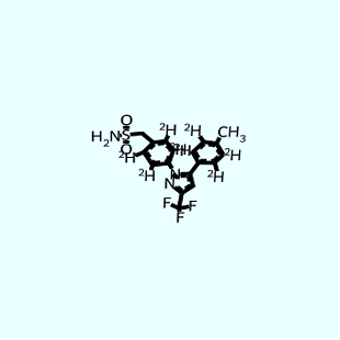 [2H]c1c([2H])c(-c2cc(C(F)(F)F)nn2-c2c([2H])c([2H])c(CS(N)(=O)=O)c([2H])c2[2H])c([2H])c([2H])c1C